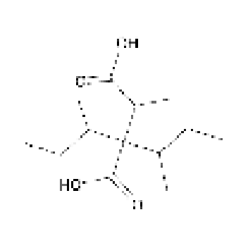 CCC(C)C(C(=O)O)(C(C)CC)C(C)C(=O)O